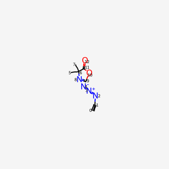 C#CN=[N+]=[N-].CC1(C)N=COC1=O